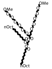 CCCCCCCC/C=C/CCCCCCCC(=O)OCC(COC(=O)C(CCCOCCOCCOCCOCCOCCOC)COCCOCCOCCOCCOCCOCCOC)OC(=O)CCCCCCC/C=C/CCCCCCCC